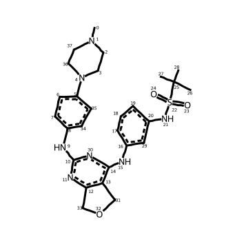 CN1CCN(c2ccc(Nc3nc4c(c(Nc5cccc(NS(=O)(=O)C(C)(C)C)c5)n3)COC4)cc2)CC1